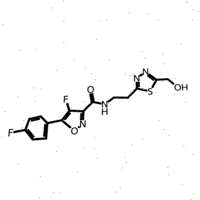 O=C(NCCc1nnc(CO)s1)c1noc(-c2ccc(F)cc2)c1F